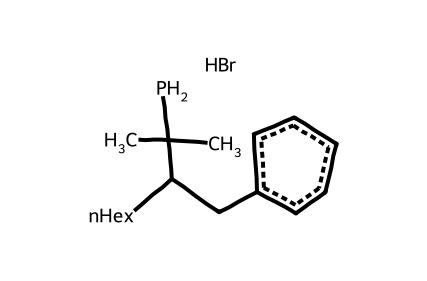 Br.CCCCCCC(Cc1ccccc1)C(C)(C)P